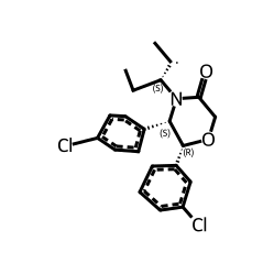 C[CH][C@@H](CC)N1C(=O)CO[C@H](c2cccc(Cl)c2)[C@@H]1c1ccc(Cl)cc1